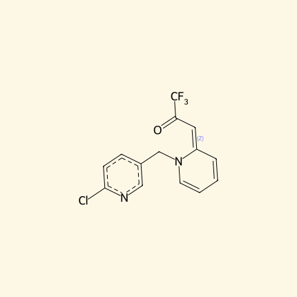 O=C(/C=C1/C=CC=CN1Cc1ccc(Cl)nc1)C(F)(F)F